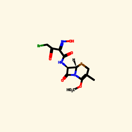 CC1=C(OC(=O)O)N2C(=O)[C@@H](NC(=O)/C(=N\O)C(=O)CBr)[C@H]2SC1